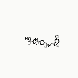 CCN(CCC1=CN(C)C2C=CC(Cl)=CC12)CC1CCN(c2ncc(C(=O)O)cn2)CC1